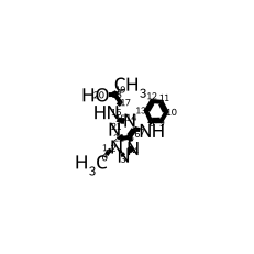 CCn1nnc2c(Nc3ccccc3)nc(NCC(C)O)nc21